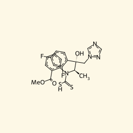 COC(=O)c1ccccc1N(C(=S)S)[C@H](C)[C@](O)(Cn1cncn1)c1ccc(F)cc1F